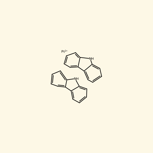 [Pt+2].c1ccc2c(c1)[nH]c1ccccc12.c1ccc2c(c1)[nH]c1ccccc12